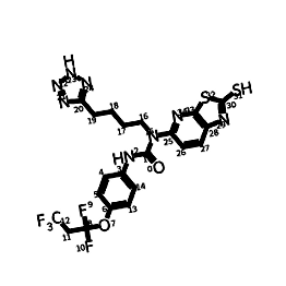 O=C(Nc1ccc(OC(F)(F)CC(F)(F)F)cc1)N(CCCCc1nn[nH]n1)c1ccc2nc(S)sc2n1